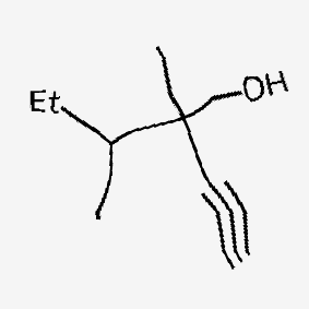 C#CC(C)(O)C(C)CC